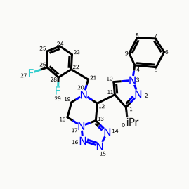 CC(C)c1nn(-c2ccccc2)cc1C1c2nnnn2CCN1Cc1cccc(F)c1F